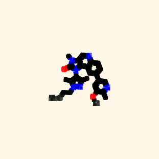 CCOc1cc(-c2ccc3ncc4c(c3c2)n(-c2c(C)nn(CCOC)c2C)c(=O)n4C)cnc1C